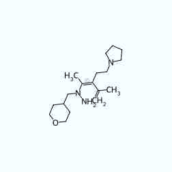 C=C(C)/C(CCN1CCCC1)=C(/C)N(N)CC1CCOCC1